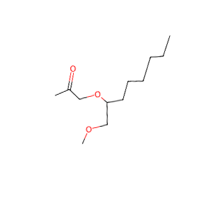 CCCCCCC(COC)OCC(C)=O